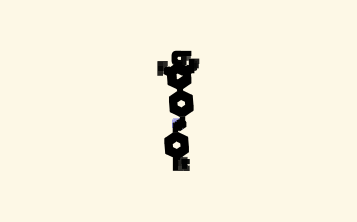 CC[C@H]1CC[C@H](/C=C/[C@H]2CC[C@H](c3cc(F)c(C(F)(F)F)c(F)c3)CC2)CC1